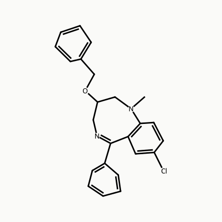 CN1CC(OCc2ccccc2)CN=C(c2ccccc2)c2cc(Cl)ccc21